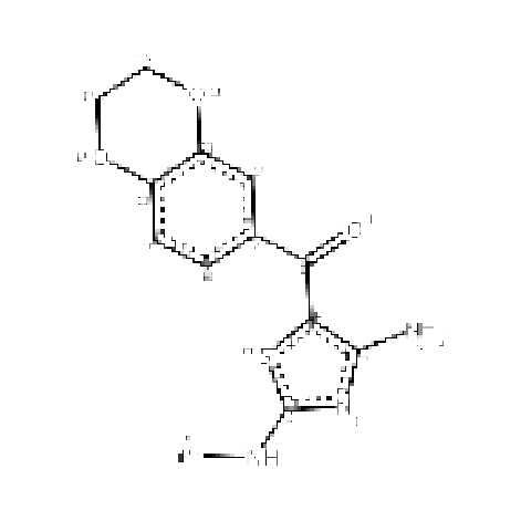 CC(C)Nc1nc(N)c(C(=O)c2ccc3c(c2)OCCO3)s1